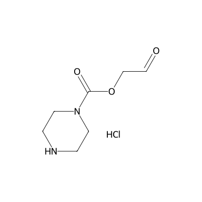 Cl.O=CCOC(=O)N1CCNCC1